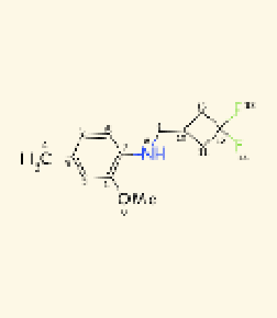 COc1cc(C)ccc1NCC1CC(F)(F)C1